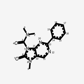 CN(C)C(=O)n1c(=O)n(C)c2cnc(-c3ccccc3)nc21